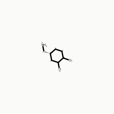 NC[C@@H]1CCC(Cl)C(Cl)C1